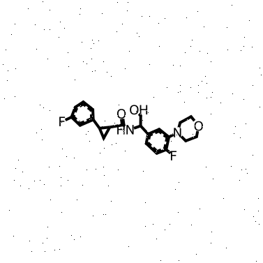 O=C(NC(CO)c1ccc(F)c(N2CCOCC2)c1)C1CC1c1cccc(F)c1